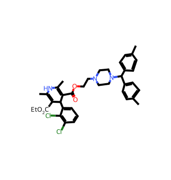 CCOC(=O)C1=C(C)NC(C)=C(C(=O)OCCN2CCN(C(c3ccc(C)cc3)c3ccc(C)cc3)CC2)C1c1cccc(Cl)c1Cl